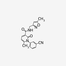 Cc1cc(CNC(=O)c2ccc(C)n(-c3cccc(C#N)c3)c2=O)no1